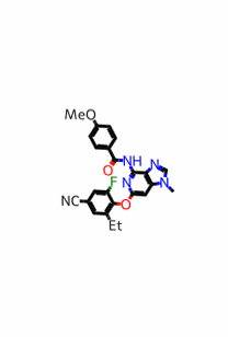 CCc1cc(C#N)cc(F)c1Oc1cc2c(ncn2C)c(NC(=O)c2ccc(OC)cc2)n1